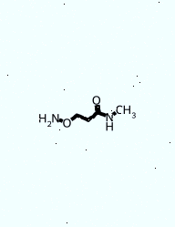 CNC(=O)CCON